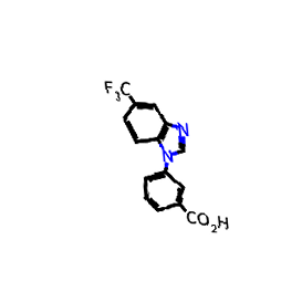 O=C(O)c1cccc(-n2cnc3cc(C(F)(F)F)ccc32)c1